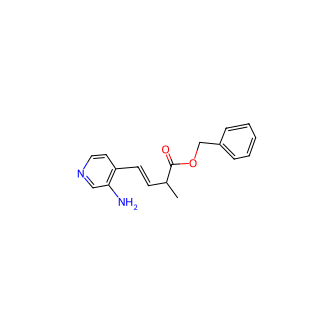 CC(/C=C/c1ccncc1N)C(=O)OCc1ccccc1